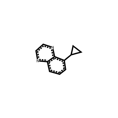 c1cc(C2CC2)c2nccnc2c1